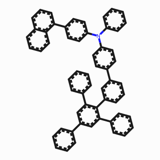 c1ccc(-c2cc(-c3ccccc3)c(-c3cccc(-c4ccc(N(c5ccccc5)c5ccc(-c6cccc7ccccc67)cc5)cc4)c3)c(-c3ccccc3)c2)cc1